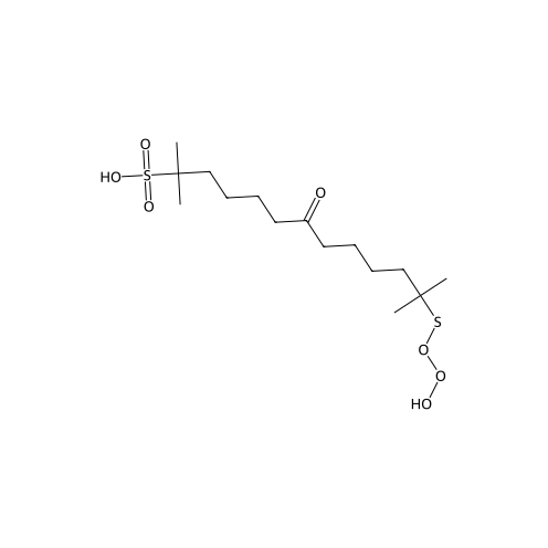 CC(C)(CCCCC(=O)CCCCC(C)(C)S(=O)(=O)O)SOOO